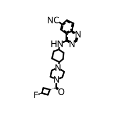 N#Cc1ccc2ncnc(NC3CCC(N4CCN(C(=O)[C@H]5C[C@H](F)C5)CC4)CC3)c2c1